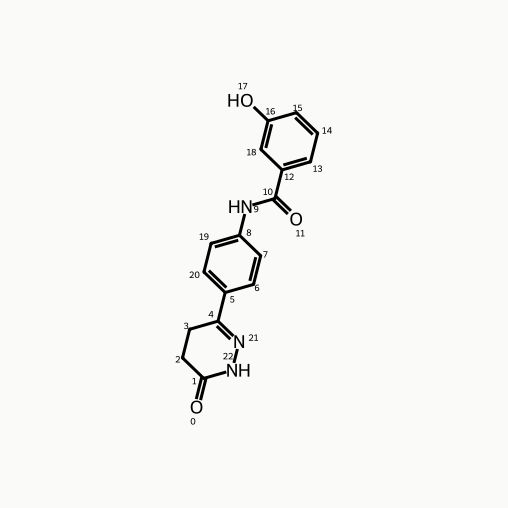 O=C1CCC(c2ccc(NC(=O)c3cccc(O)c3)cc2)=NN1